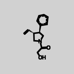 C=C[C@H]1CN(C(=O)CO)C[C@@H]1c1ccccc1